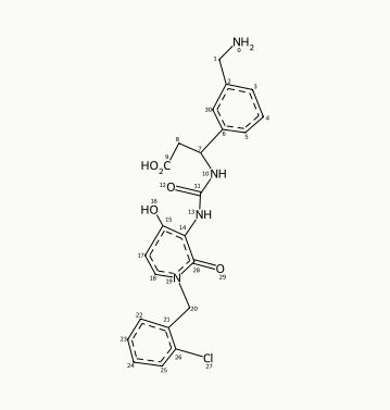 NCc1cccc(C(CC(=O)O)NC(=O)Nc2c(O)ccn(Cc3ccccc3Cl)c2=O)c1